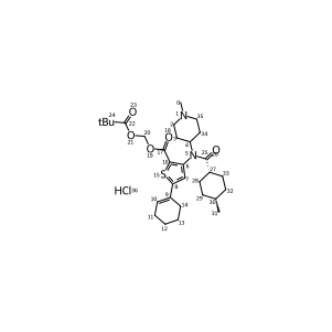 CN1CCC(N(c2cc(C3=CCCCC3)sc2C(=O)OCOC(=O)C(C)(C)C)C(=O)[C@H]2CC[C@H](C)CC2)CC1.Cl